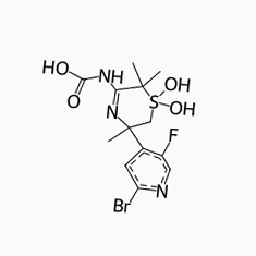 CC1(c2cc(Br)ncc2F)CS(O)(O)C(C)(C)C(NC(=O)O)=N1